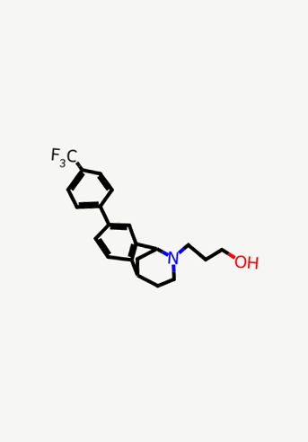 OCCCN1CCC2CC1c1cc(-c3ccc(C(F)(F)F)cc3)ccc12